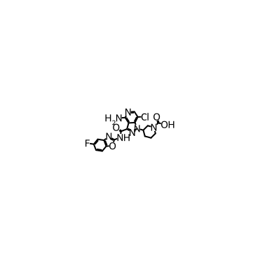 Nc1ncc(Cl)c2c1c(C(=O)Nc1nc3cc(F)ccc3o1)nn2C1CCCN(C(=O)O)C1